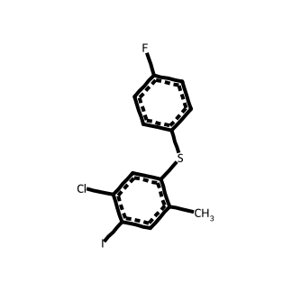 Cc1cc(I)c(Cl)cc1Sc1ccc(F)cc1